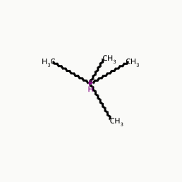 CCCCCCCCCCCCCCCCCC[PH](CCCCCCCCCCCC)(CCCCCCCCCCCCCCCCCC)CCCCCCCCCCCCCCCCCC